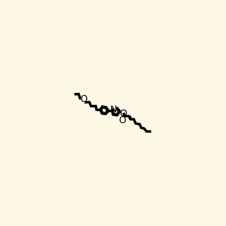 CCCCCCCC=CC(=O)Oc1ccc(-c2ccc(CCCCCOCCC)cc2)nc1